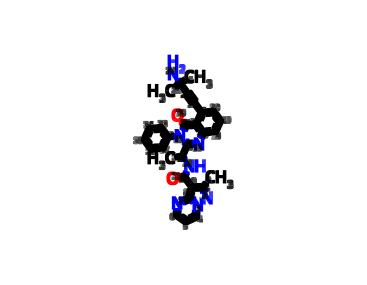 Cc1nn2cccnc2c1C(=O)NC(C)c1nc2cccc(C#CC(C)(C)N)c2c(=O)n1-c1ccccc1